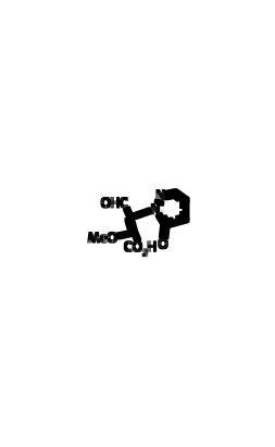 COC(C(=O)O)=C(C=O)n1ncccc1=O